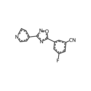 N#Cc1cc(F)cc(-c2nc(-c3ccncc3)no2)c1